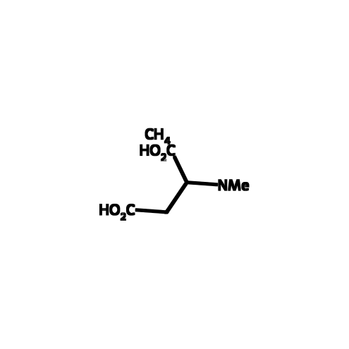 C.CNC(CC(=O)O)C(=O)O